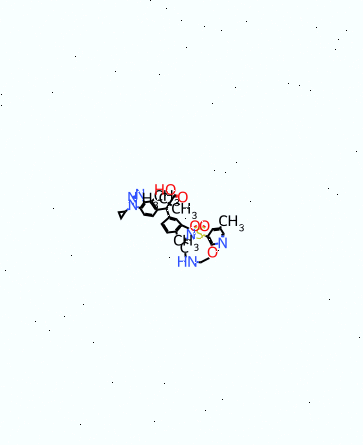 Cc1cnc2c(c1)S(=O)(=O)N(Cc1cc(C(c3ccc4c(nnn4C4CC4)c3C)C(C)(C)C(=O)O)ccc1C)CCCNCCO2